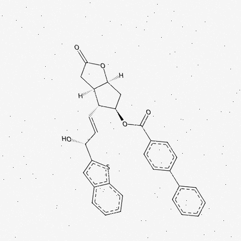 O=C1C[C@@H]2[C@@H](C=C[C@@H](O)c3cc4ccccc4s3)[C@H](OC(=O)c3ccc(-c4ccccc4)cc3)C[C@@H]2O1